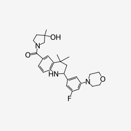 CC1(O)CCN(C(=O)c2ccc3c(c2)C(C)(C)CC(c2cc(F)cc(N4CCOCC4)c2)N3)C1